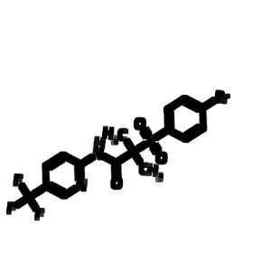 CC(C)(C(=O)Nc1ccc(C(F)(F)F)cn1)S(=O)(=O)c1ccc(Br)cc1